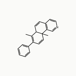 CC1=C(c2ccccc2)C=CC2(C)c3cnccc3C=CC12